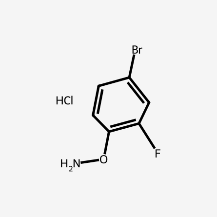 Cl.NOc1ccc(Br)cc1F